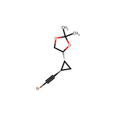 CC1(C)OCC([C@@H]2C[C@H]2C#CBr)O1